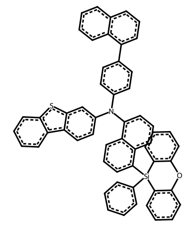 c1ccc([Si]2(c3cccc4c(N(c5ccc(-c6cccc7ccccc67)cc5)c5ccc6c(c5)sc5ccccc56)cccc34)c3ccccc3Oc3ccccc32)cc1